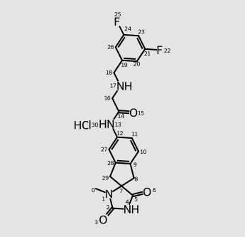 CN1C(=O)NC(=O)C12Cc1ccc(NC(=O)CNCc3cc(F)cc(F)c3)cc1C2.Cl